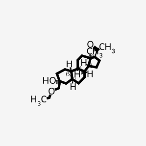 CCOC[C@@]1(O)CC[C@H]2[C@@H](CC[C@@H]3[C@@H]2CC[C@]2(C)[C@@H](C(C)=O)CC[C@@H]32)C1